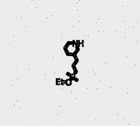 CCO[Si](C)(C)CCCC1CCCNC1